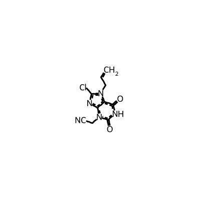 C=CCn1c(Cl)nc2c1c(=O)[nH]c(=O)n2CC#N